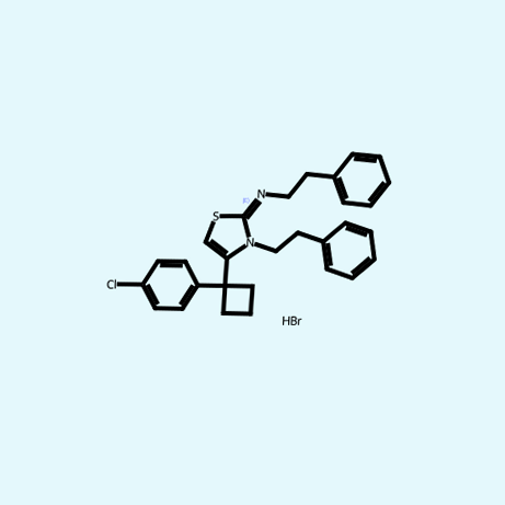 Br.Clc1ccc(C2(c3cs/c(=N/CCc4ccccc4)n3CCc3ccccc3)CCC2)cc1